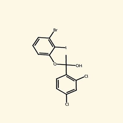 CC(O)(Oc1cccc(Br)c1I)c1ccc(Cl)cc1Cl